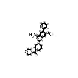 COc1cc2nc(N3CCCN(C(=O)N4CCOCC4)CC3)nc(N)c2cc1-c1ccccn1